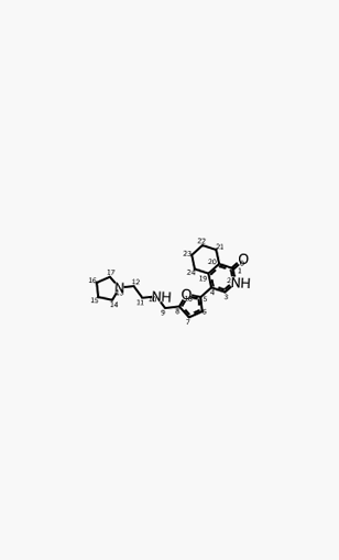 O=c1[nH]cc(-c2ccc(CNCCN3CCCC3)o2)c2c1CCCC2